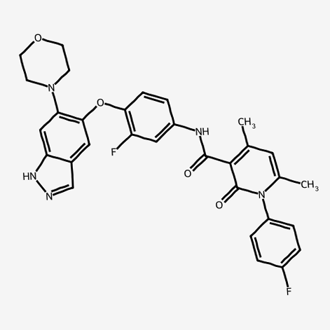 Cc1cc(C)n(-c2ccc(F)cc2)c(=O)c1C(=O)Nc1ccc(Oc2cc3cn[nH]c3cc2N2CCOCC2)c(F)c1